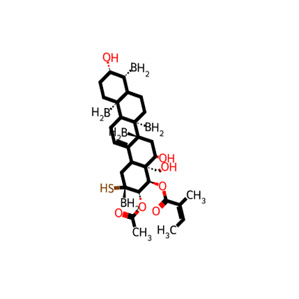 B[C@@H]1C2CC[C@]3(B)C(CC=C4C5C[C@@](B)(S)[C@@H](OC(C)=O)[C@H](OC(=O)/C(C)=C\C)[C@]5(CO)[C@H](O)C[C@]43B)[C@@]2(B)CC[C@@H]1O